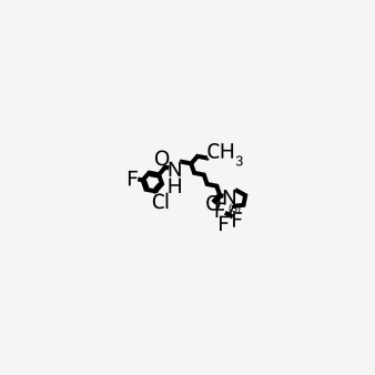 CCCC(CCCCC(=O)N1CCC[C@H]1C(F)(F)F)CNC(=O)c1cc(F)cc(Cl)c1